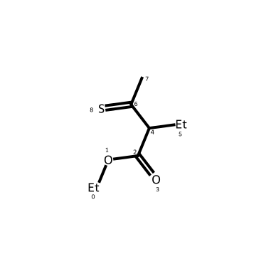 CCOC(=O)C(CC)C(C)=S